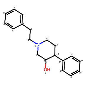 OC1CN(CCc2ccccc2)CCC1c1ccccc1